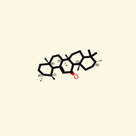 C[C@@H]1CC[C@]2(C)CC[C@]3(C)C(=CC(=O)C4[C@@]5(C)CC[C@@H](C)C(C)(C)C5CC[C@]43C)C2[C@H]1C